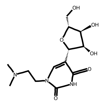 CN(C)CCn1cc([C@@H]2O[C@H](CO)[C@@H](O)[C@H]2O)c(=O)[nH]c1=O